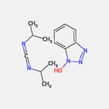 CC(C)N=C=NC(C)C.On1nnc2ccccc21